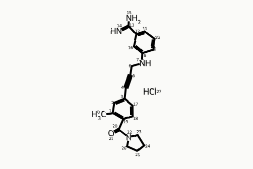 Cc1cc(C#CCNc2cccc(C(=N)N)c2)ccc1C(=O)N1CCCC1.Cl